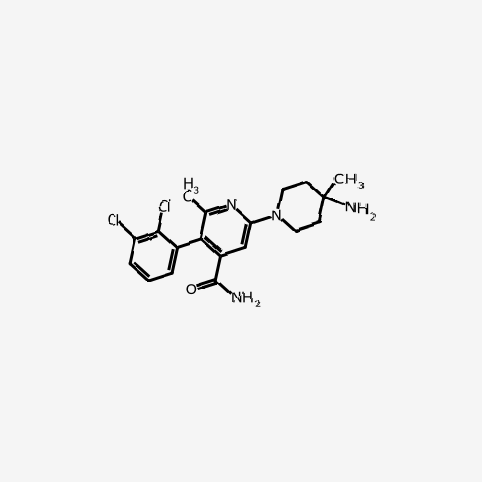 Cc1nc(N2CCC(C)(N)CC2)cc(C(N)=O)c1-c1cccc(Cl)c1Cl